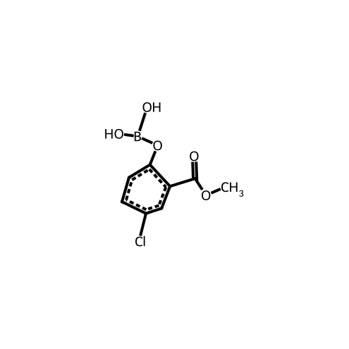 COC(=O)c1cc(Cl)ccc1OB(O)O